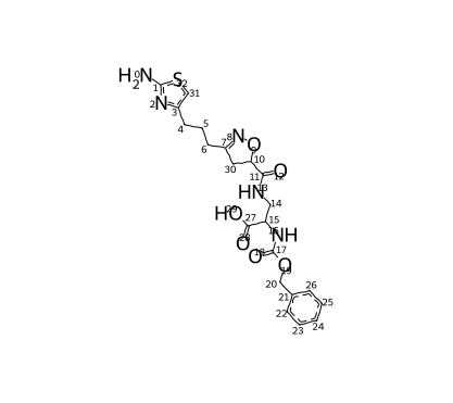 Nc1nc(CCCC2=NOC(C(=O)NCC(NC(=O)OCc3ccccc3)C(=O)O)C2)cs1